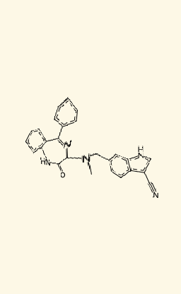 CN(Cc1ccc2c(C#N)c[nH]c2c1)C1N=C(c2ccccc2)c2ccccc2NC1=O